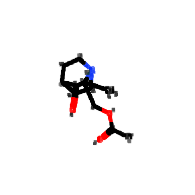 CC(C)C(=O)OCC1(C)C(=O)C2CCN1CC2